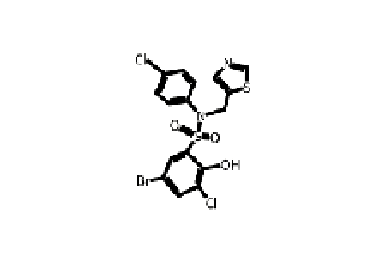 O=S(=O)(c1cc(Br)cc(Cl)c1O)N(Cc1cncs1)c1ccc(Cl)cc1